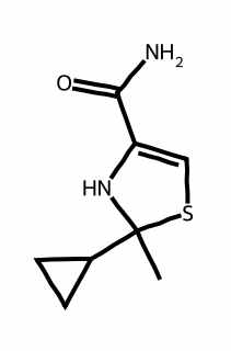 CC1(C2CC2)NC(C(N)=O)=CS1